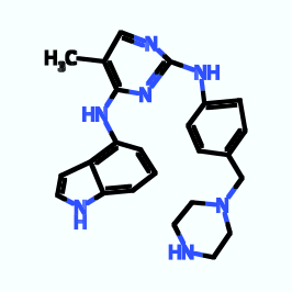 Cc1cnc(Nc2ccc(CN3CCNCC3)cc2)nc1Nc1cccc2[nH]ccc12